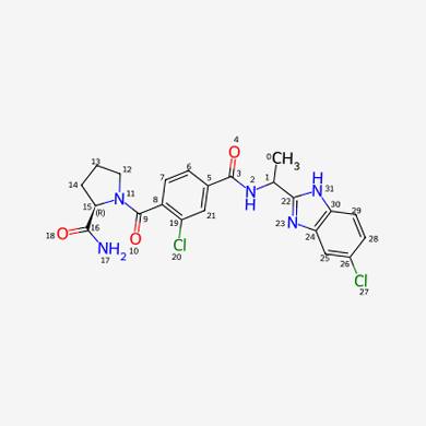 CC(NC(=O)c1ccc(C(=O)N2CCC[C@@H]2C(N)=O)c(Cl)c1)c1nc2cc(Cl)ccc2[nH]1